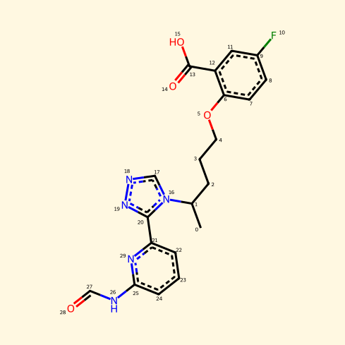 CC(CCCOc1ccc(F)cc1C(=O)O)n1cnnc1-c1cccc(NC=O)n1